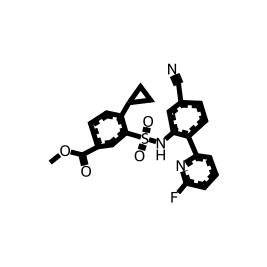 COC(=O)c1ccc(C2CC2)c(S(=O)(=O)Nc2cc(C#N)ccc2-c2cccc(F)n2)c1